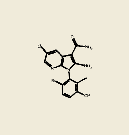 Cc1c(O)ccc(Br)c1-n1c(N)c(C(N)=O)c2cc(Cl)cnc21